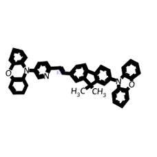 CC1(C)c2cc(/C=C/c3ccc(N4C5=C(C=CCC5)Oc5ccccc54)cn3)ccc2-c2ccc(N3c4ccccc4Oc4ccccc43)cc21